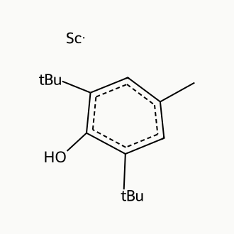 Cc1cc(C(C)(C)C)c(O)c(C(C)(C)C)c1.[Sc]